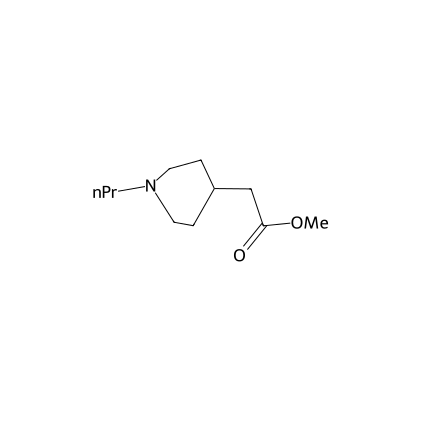 CCCN1CCC(CC(=O)OC)CC1